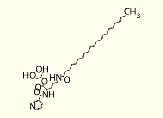 CCC=CCC=CCC=CCC=CCC=CCC=CCCC(=O)NCCCC(NC(=O)c1cccnc1)C(=O)OC(CO)CO